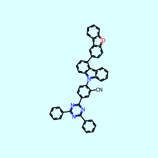 N#Cc1cc(-c2nc(-c3ccccc3)nc(-c3ccccc3)n2)ccc1-n1c2ccccc2c2c(-c3ccc4oc5ccccc5c4c3)cccc21